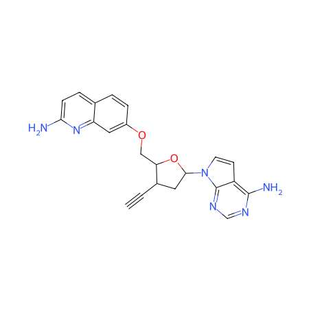 C#CC1CC(n2ccc3c(N)ncnc32)OC1COc1ccc2ccc(N)nc2c1